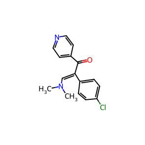 CN(C)C=C(C(=O)c1ccncc1)c1ccc(Cl)cc1